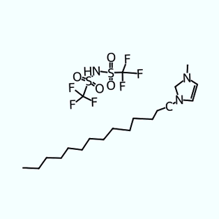 CCCCCCCCCCCCCCN1C=CN(C)C1.O=S(=O)(NS(=O)(=O)C(F)(F)F)C(F)(F)F